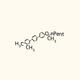 CCCCCC(C)Oc1ccc(-c2ccc(-c3ccc(C)c(C)c3)cc2)cc1